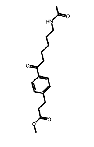 COC(=O)CCc1ccc(C(=O)CCCCCNC(C)=O)cc1